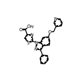 O=C(O)c1csc(-n2nc(-c3ccccc3)c3ccc(OCc4cccnc4)cc32)n1